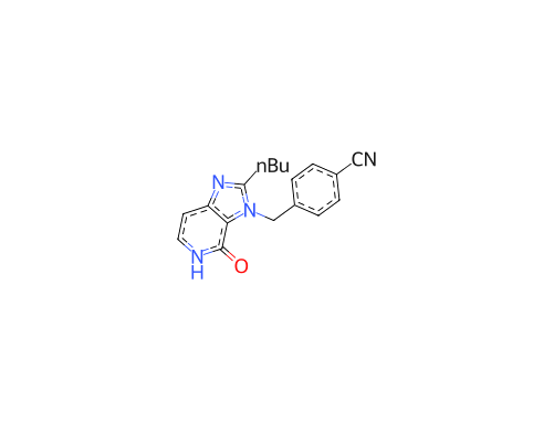 CCCCc1nc2cc[nH]c(=O)c2n1Cc1ccc(C#N)cc1